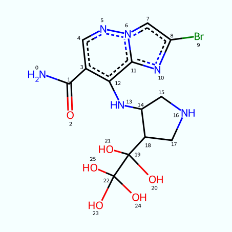 NC(=O)c1cnn2cc(Br)nc2c1NC1CNCC1C(O)(O)C(O)(O)O